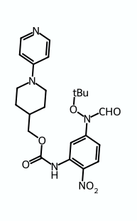 CC(C)(C)ON(C=O)c1ccc([N+](=O)[O-])c(NC(=O)OCC2CCN(c3ccncc3)CC2)c1